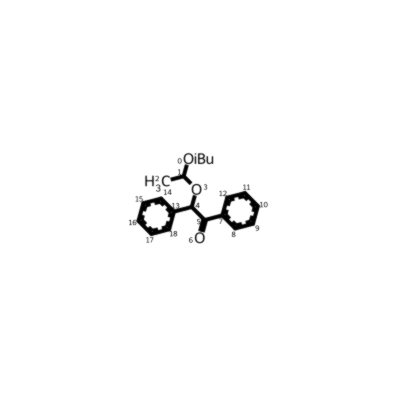 CC(C)COC(C)OC(C(=O)c1ccccc1)c1ccccc1